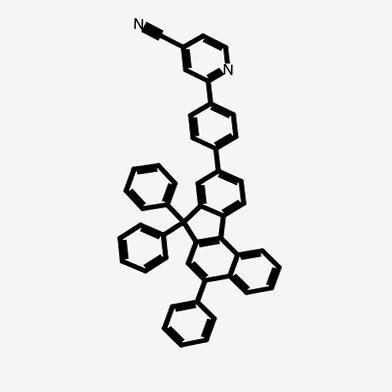 N#Cc1ccnc(-c2ccc(-c3ccc4c(c3)C(c3ccccc3)(c3ccccc3)c3cc(-c5ccccc5)c5ccccc5c3-4)cc2)c1